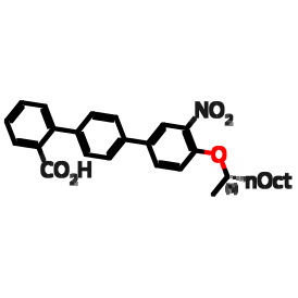 CCCCCCCC[C@H](C)Oc1ccc(-c2ccc(-c3ccccc3C(=O)O)cc2)cc1[N+](=O)[O-]